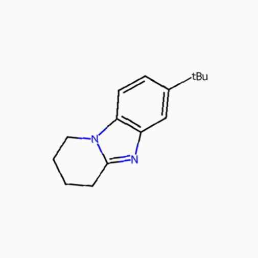 CC(C)(C)c1ccc2c(c1)nc1n2CCCC1